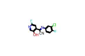 N#C/C(=N\c1ccc(F)c(Cl)c1)c1cc(F)ncc1O